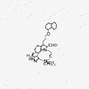 Cc1[nH]nc2c1-c1c(F)ccc3c(CCCOc4cccc5ccccc45)c(C=O)n(c13)CCCC[N+](C)(C)C2